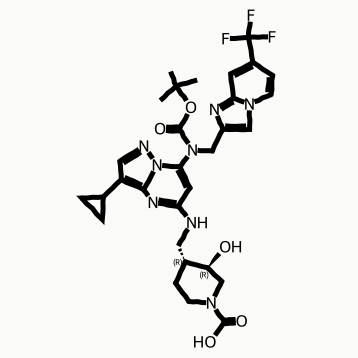 CC(C)(C)OC(=O)N(Cc1cn2ccc(C(F)(F)F)cc2n1)c1cc(NC[C@H]2CCN(C(=O)O)C[C@@H]2O)nc2c(C3CC3)cnn12